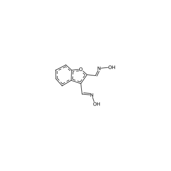 ON=Cc1oc2ccccc2c1C=NO